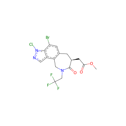 COC(=O)C[C@@H]1Cc2cc(Br)c3c(cnn3Cl)c2CN(CC(F)(F)F)C1=O